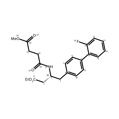 CCOC(=O)C[C@@H](Cc1ccc(-c2ccccc2F)cc1)NC(=O)CCC(=O)OC